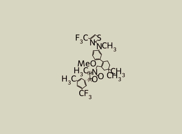 COc1ccc(N(C)c2nc(C(F)(F)F)cs2)cc1C1=C(CN2C(=O)O[C@H](c3cc(C)cc(C(F)(F)F)c3)[C@@H]2C)CC(C)(C)CC1